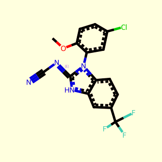 COc1ccc(Cl)cc1-n1/c(=N/C#N)[nH]c2cc(C(F)(F)F)ccc21